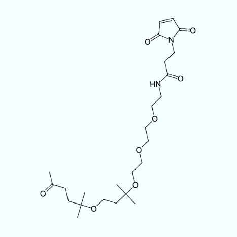 CC(=O)CCC(C)(C)OCCC(C)(C)OCCOCCOCCNC(=O)CCN1C(=O)C=CC1=O